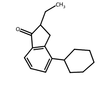 CCC1Cc2c(cccc2C2CCCCC2)C1=O